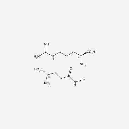 CCNC(=O)CC[C@H](N)C(=O)O.N=C(N)NCCC[C@H](N)C(=O)O